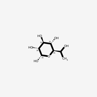 CC(O)[C@H]1O[C@H](O)[C@H](O)[C@@H](O)[C@@H]1O